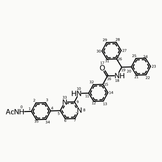 CC(=O)Nc1ccc(-c2ccnc(Nc3cccc(C(=O)NC(c4ccccc4)c4ccccc4)c3)n2)cc1